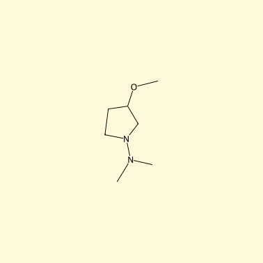 COC1CCN(N(C)C)C1